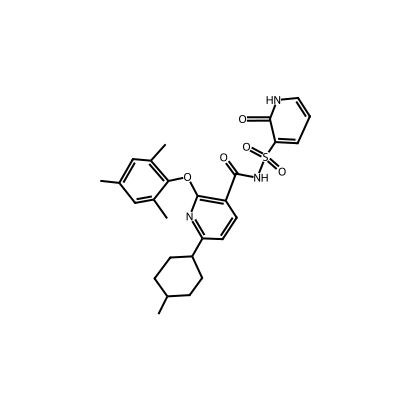 Cc1cc(C)c(Oc2nc(C3CCC(C)CC3)ccc2C(=O)NS(=O)(=O)c2ccc[nH]c2=O)c(C)c1